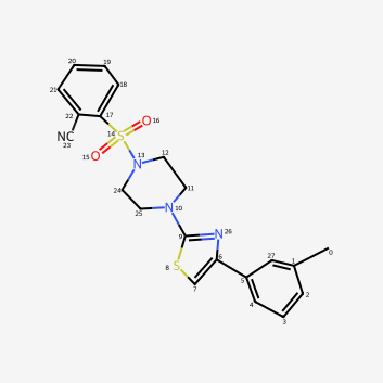 Cc1cccc(-c2csc(N3CCN(S(=O)(=O)c4ccccc4C#N)CC3)n2)c1